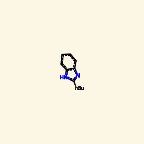 [CH2]CCCc1nc2ccccc2[nH]1